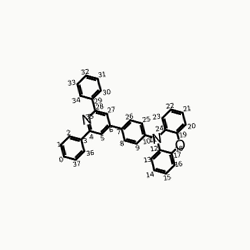 c1ccc(-c2cc(-c3ccc(N4c5ccccc5Oc5ccccc54)cc3)cc(-c3ccccc3)n2)cc1